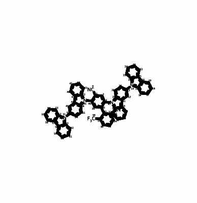 N#Cc1cc(-n2c3ccccc3c3cc(-n4c5ccccc5c5ccccc54)ccc32)c(-c2c(C#N)cccc2C(F)(F)F)cc1-n1c2ccccc2c2cc(-n3c4ccccc4c4ccccc43)ccc21